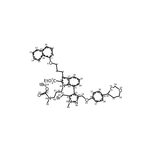 CCOC(=O)c1c(CCCOc2cccc3ccccc23)c2cccc(-c3c(COc4ccc(C5CCOCC5)cc4)nn(C)c3CBr)c2n1CCCN(C)C(=O)OC(C)(C)C